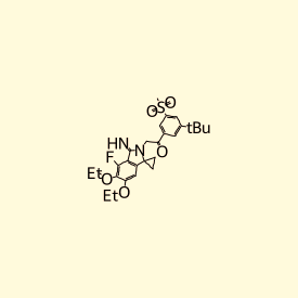 CCOc1cc2c(c(F)c1OCC)C(=N)N(CC(=O)c1cc(C(C)(C)C)cc(S(C)(=O)=O)c1)C21CC1